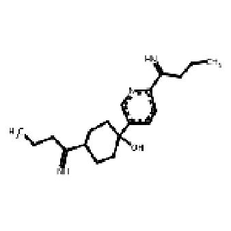 C[CH]CC(=N)C1CCC(O)(c2ccc(C(=N)CCC)nc2)CC1